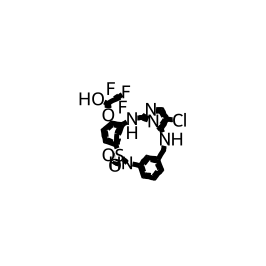 O=C(O)C(F)(F)F.O=S1(=O)Nc2cccc(c2)CNc2nc(ncc2Cl)Nc2cccc1c2